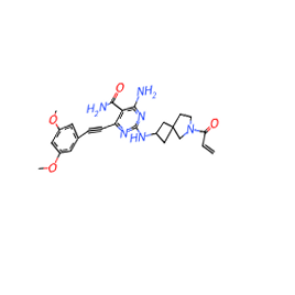 C=CC(=O)N1CCC2(CC(Nc3nc(N)c(C(N)=O)c(C#Cc4cc(OC)cc(OC)c4)n3)C2)C1